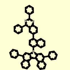 c1ccc(-c2nc(-c3ccccc3)c3cc(-c4ccc(-n5c6cc(-c7ccccc7)c7ccccc7c6c6c7ccccc7c(-c7ccccc7)cc65)c5ccccc45)ccc3n2)cc1